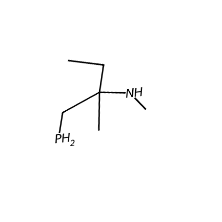 CCC(C)(CP)NC